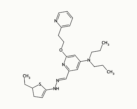 CCCN(CCC)c1cc(/C=N/NC2=CCC(CC)S2)nc(OCCc2ccccn2)c1